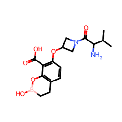 CC(C)C(N)C(=O)N1CC(Oc2ccc3c(c2C(=O)O)OB(O)CC3)C1